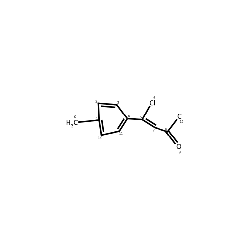 Cc1ccc(C(Cl)=CC(=O)Cl)cc1